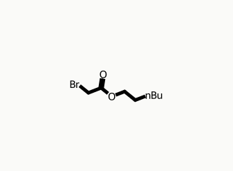 CCCCCCOC(=O)CBr